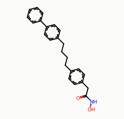 O=C(Cc1ccc(CCCCc2ccc(-c3ccccc3)cc2)cc1)NO